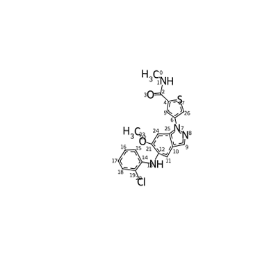 CNC(=O)c1cc(-n2ncc3cc(Nc4ccccc4Cl)c(OC)cc32)cs1